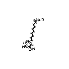 CCCCCCCCCCCCCCCCCCN(O)CC(O)O